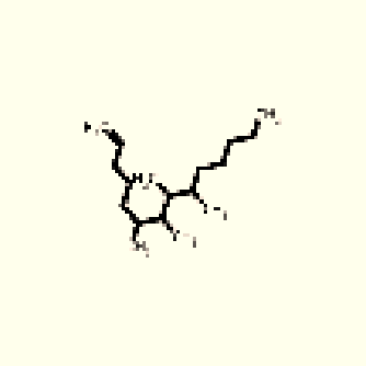 C=CCCCC(C)C(C)C(C)C(C)CCCCC